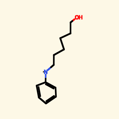 OCCCCCC[N]c1ccccc1